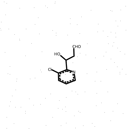 O=CCC(O)c1ncccc1Cl